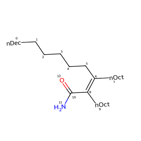 CCCCCCCCCCCCCCCC(CCCCCCCC)=C(CCCCCCCC)C(N)=O